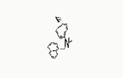 CN(Cc1cccc2ccccc12)c1ccc(F)cc1